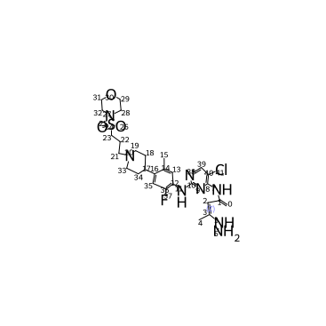 C=C(/C=C(/C)NN)Nc1nc(Nc2cc(C)c(C3CCN(CCCS(=O)(=O)N4CCOCC4)CC3)cc2F)ncc1Cl